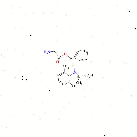 CCc1cccc(C)c1N[C@@H](C)C(=O)O.NCC(=O)OCc1ccccc1